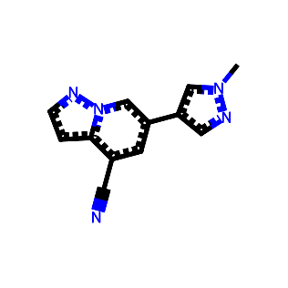 Cn1cc(-c2cc(C#N)c3ccnn3c2)cn1